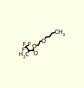 C=C(C(=O)OCCOCCCC)C(F)(F)F